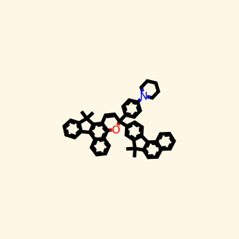 CC1(C)c2cc(C3(c4ccc(N5CCCCC5)cc4)C=Cc4c5c(c6ccccc6c4O3)-c3ccccc3C5(C)C)ccc2-c2c1ccc1ccccc21